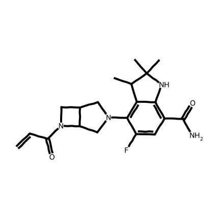 C=CC(=O)N1CC2CN(c3c(F)cc(C(N)=O)c4c3C(C)C(C)(C)N4)CC21